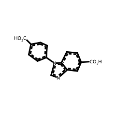 O=C(O)c1ccc(-n2cnc3cc(C(=O)O)ccc32)cc1